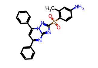 Cc1cc(N)ccc1S(=O)(=O)c1nc2nc(-c3ccccc3)cc(-c3ccccc3)n2n1